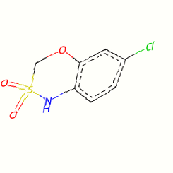 O=S1(=O)COc2cc(Cl)ccc2N1